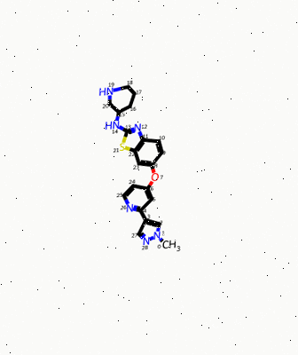 Cn1cc(-c2cc(Oc3ccc4nc(NC5CCCNC5)sc4c3)ccn2)cn1